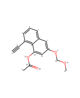 C#Cc1cccc2cc(OCOC)cc(OC(C)=O)c12